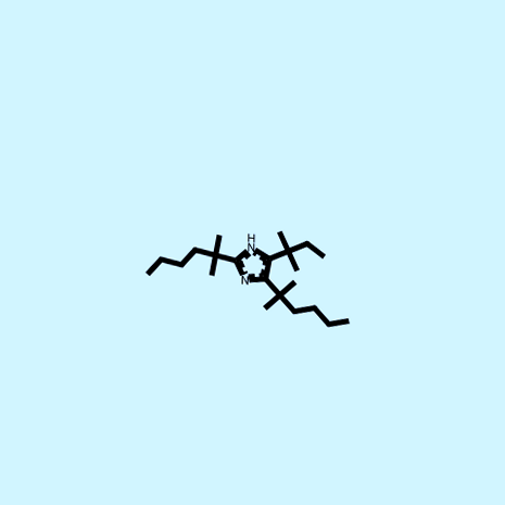 CCCCC(C)(C)c1nc(C(C)(C)CCCC)c(C(C)(C)CC)[nH]1